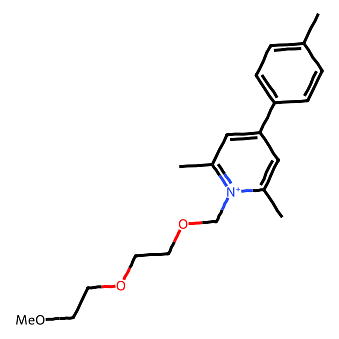 COCCOCCOC[n+]1c(C)cc(-c2ccc(C)cc2)cc1C